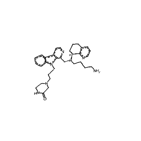 NCCCCN(Cc1nccc2c3ccccc3n(CCCN3CCNC(=O)C3)c12)[C@H]1CCCc2cccnc21